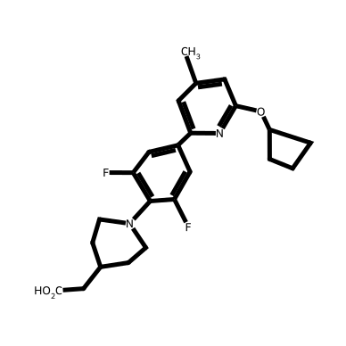 Cc1cc(OC2CCC2)nc(-c2cc(F)c(N3CCC(CC(=O)O)CC3)c(F)c2)c1